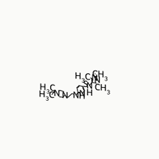 Cc1nn(C)c(C)c1NSc1ccc(NCCN2CCN(C(C)C)CC2)nc1